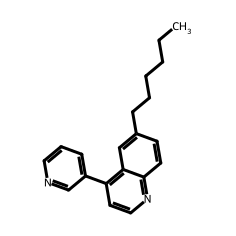 CCCCCCc1ccc2nccc(-c3cccnc3)c2c1